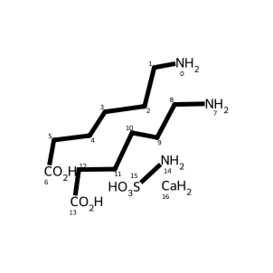 NCCCCCC(=O)O.NCCCCCC(=O)O.NS(=O)(=O)O.[CaH2]